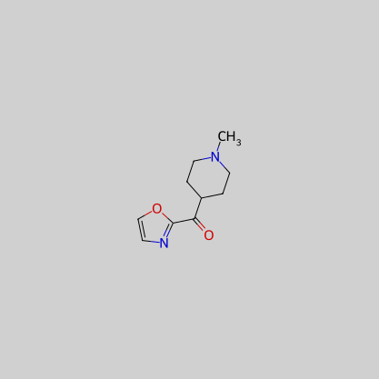 CN1CCC(C(=O)c2ncco2)CC1